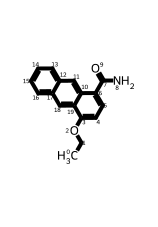 CCOc1ccc(C(N)=O)c2cc3ccccc3cc12